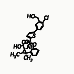 CC1[C@](C)(c2ccccc2)[C@]1(NS(=O)(=O)c1ccc(-c2ccc(Cl)c(CO)c2)s1)C(=O)O